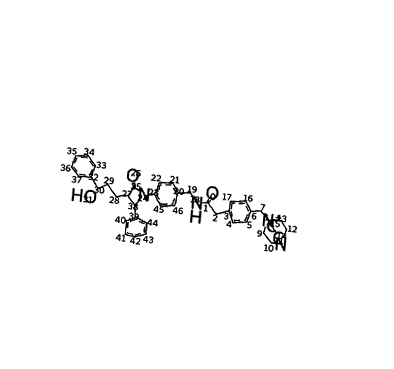 O=C(Cc1ccc(C[N+]23CCN(CC2)CC3)cc1)NCc1ccc(N2C(=O)C(CCC(O)c3ccccc3)C2c2ccccc2)cc1